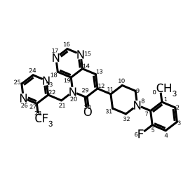 Cc1cccc(F)c1N1CCC(c2cc3ncncc3n(Cc3nccnc3C(F)(F)F)c2=O)CC1